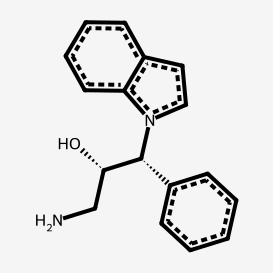 NC[C@H](O)[C@@H](c1ccccc1)n1ccc2ccccc21